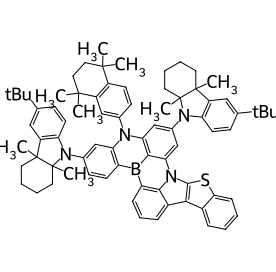 CC(C)(C)c1ccc2c(c1)C1(C)CCCCC1(C)N2c1ccc2c(c1)N(c1ccc3c(c1)C(C)(C)CCC3(C)C)c1cc(N3c4ccc(C(C)(C)C)cc4C4(C)CCCCC34C)cc3c1B2c1cccc2c4c5ccccc5sc4n-3c12